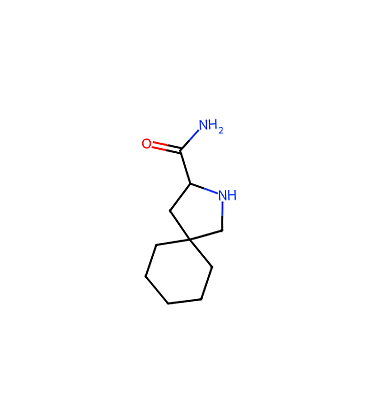 NC(=O)C1CC2(CCCCC2)CN1